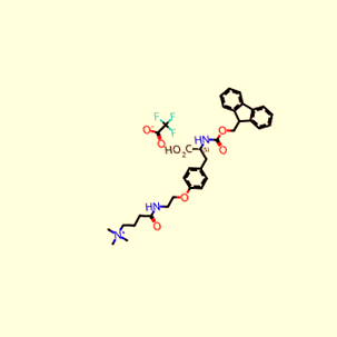 C[N+](C)(C)CCCC(=O)NCCOc1ccc(C[C@H](NC(=O)OCC2c3ccccc3-c3ccccc32)C(=O)O)cc1.O=C([O-])C(F)(F)F